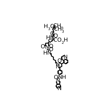 CS(C)(C)CCOC(=O)N[C@@H](CSC1CC(=O)N(CC(=O)NCCCCCCN2N=C(c3ccc(NC(=O)N4Cc5ccncc5C4)cc3)CC(c3cccc4ncccc34)C2=O)C1=O)C(=O)O